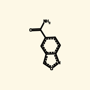 NC(=O)c1ccc2nocc2c1